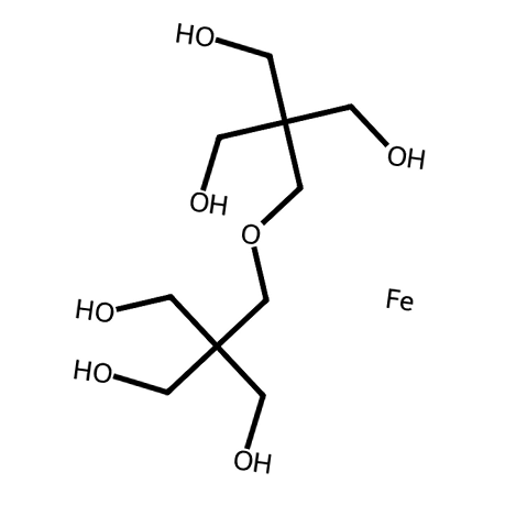 OCC(CO)(CO)COCC(CO)(CO)CO.[Fe]